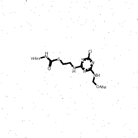 CCCCCCNC(=O)SCCNc1nc(Cl)nc(NCOC)n1